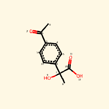 CC(=O)c1ccc(C(C)(O)C(=O)O)cc1